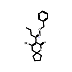 CCC/C(=N\OCc1ccccc1)C1=C(O)CC2(CCCC2)OC1=O